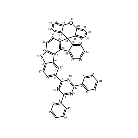 c1ccc(-c2nc(-c3ccccc3)nc(-c3ccc4sc5ccc6c(c5c4c3)-c3ccccc3C63c4ccccc4Oc4ccccc43)n2)cc1